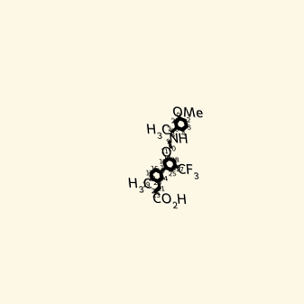 COc1cccc([C@@H](C)NCCOc2cc(-c3ccc(C)c(/C=C/C(=O)O)c3)cc(C(F)(F)F)c2)c1